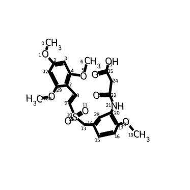 COc1cc(OC)c(/C=C/S(=O)(=O)Cc2ccc(OC)c(NC(=O)CC(=O)O)c2)c(OC)c1